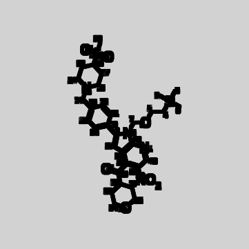 C[Si](C)(C)CCOCn1c(-c2ccc(CN3CCC(S(C)(=O)=O)CC3)cc2)cc2c(C(=O)C3CCOCC3)c([N+](=O)[O-])cnc21